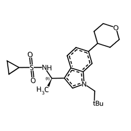 C[C@@H](NS(=O)(=O)C1CC1)c1cn(CC(C)(C)C)c2cc(C3CCOCC3)ccc12